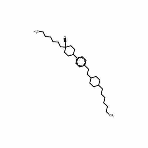 CCCCCCCC1CCC(CCc2ccc(C3CCC(C#N)(CCCCCCC)CC3)cc2)CC1